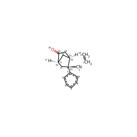 C=C.N#C[C@@]1(c2ccccc2)C[C@@H]2C[C@H]1CC2=O